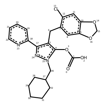 O=C(O)Oc1c(Cc2cc3c(cc2Cl)OCO3)c(-c2ccccn2)nn1CC1CCCCC1